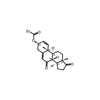 CCC(=O)O[C@H]1C=C[C@@]2(C)C(=CC(=O)[C@@H]3[C@@H]2CC[C@]2(C)C(=O)CC[C@@H]32)C1